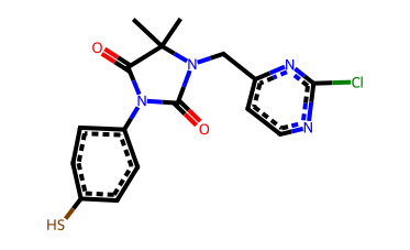 CC1(C)C(=O)N(c2ccc(S)cc2)C(=O)N1Cc1ccnc(Cl)n1